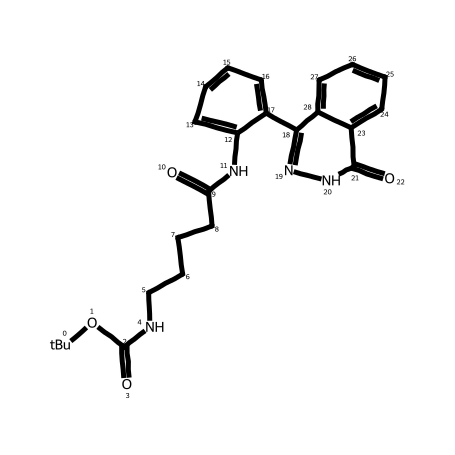 CC(C)(C)OC(=O)NCCCCC(=O)Nc1ccccc1-c1n[nH]c(=O)c2ccccc12